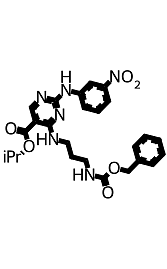 CC(C)OC(=O)c1cnc(Nc2cccc([N+](=O)[O-])c2)nc1NCCCNC(=O)OCc1ccccc1